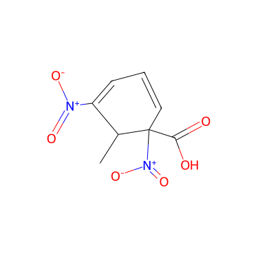 CC1C([N+](=O)[O-])=CC=CC1(C(=O)O)[N+](=O)[O-]